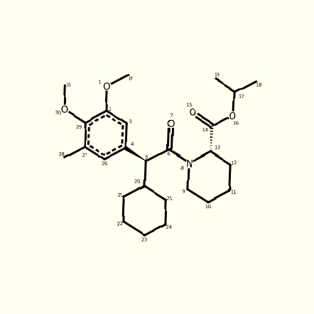 COc1cc([C@@H](C(=O)N2CCCC[C@H]2C(=O)OC(C)C)C2CCCCC2)cc(C)c1OC